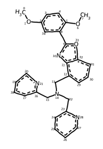 COc1ccc(OC)c(-c2nc3c(CN(Cc4ccccn4)Cc4ccccn4)cccc3o2)c1